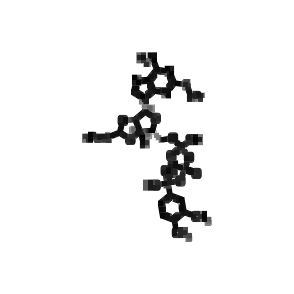 CCCCCC1OC2[C@@H](O1)[C@@H](COP(=O)(O)OP(=O)(O)OP(=O)(O)c1ccc(C)c(C)c1)O[C@H]2n1cnc2c(N)nc(SCCC)nc21